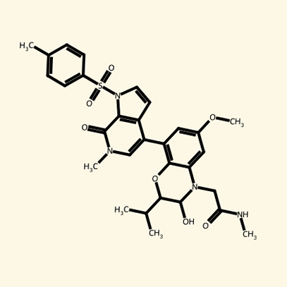 CNC(=O)CN1c2cc(OC)cc(-c3cn(C)c(=O)c4c3ccn4S(=O)(=O)c3ccc(C)cc3)c2OC(C(C)C)C1O